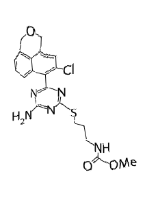 COC(=O)NCCCSc1nc(N)nc(-c2c(Cl)cc3c4c(cccc24)COC3)n1